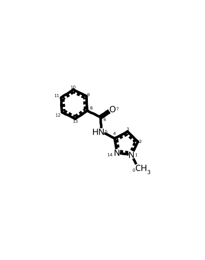 Cn1ccc(NC(=O)c2ccccc2)n1